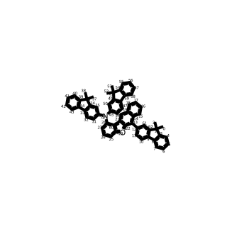 CC1(C)c2ccccc2-c2ccc(-c3c4ccccc4cc4c3oc3cccc(N(c5ccc6c(c5)C(C)(C)c5ccccc5-6)c5ccc6c(c5)C(C)(C)c5ccccc5-6)c34)cc21